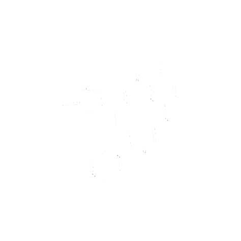 Cc1cnc(Nc2ccc(N3CCN(C)CC3)nc2)nc1Nc1cc(F)c2oc(=O)[nH]c2c1